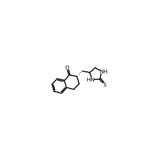 O=C1c2ccccc2CC[C@H]1CC1CNC(=S)N1